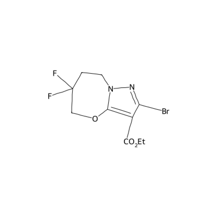 CCOC(=O)c1c(Br)nn2c1OCC(F)(F)CC2